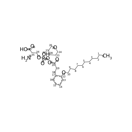 CCCCCCCCCCCOc1ccccc1CCC(=O)O[C@H]1COCC[C@H]1OP(=O)(O)OC[C@H](N)C(=O)O